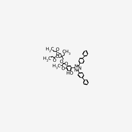 C=CC(=O)OCC(CC)(COC(=O)C=C)COC(=O)C(C)Oc1ccc(-c2nc(-c3ccc(-c4ccccc4)cc3)nc(-c3ccc(-c4ccccc4)cc3)n2)c(O)c1